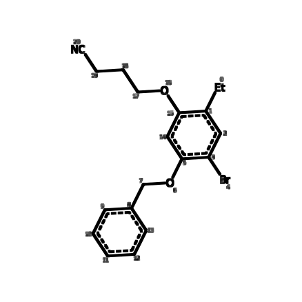 CCc1cc(Br)c(OCc2ccccc2)cc1OCCCC#N